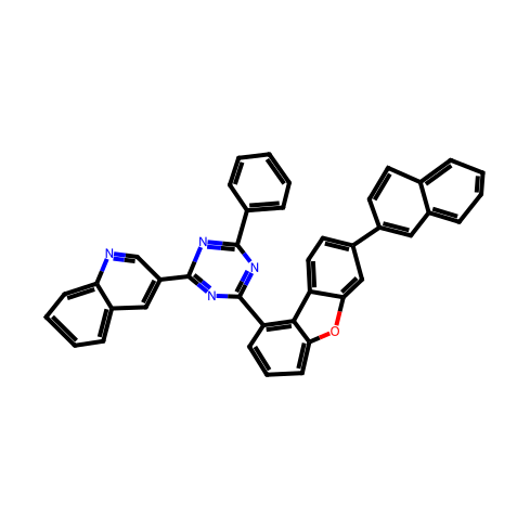 c1ccc(-c2nc(-c3cnc4ccccc4c3)nc(-c3cccc4oc5cc(-c6ccc7ccccc7c6)ccc5c34)n2)cc1